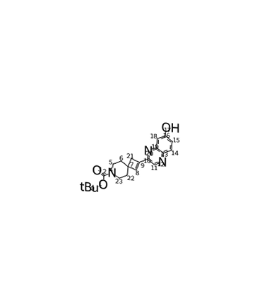 CC(C)(C)OC(=O)N1CCC2(C=C(c3cnc4ccc(O)cc4n3)C2)CC1